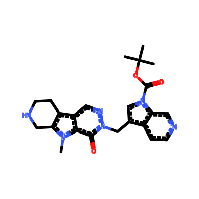 Cn1c2c(c3cnn(Cc4cn(C(=O)OC(C)(C)C)c5cnccc45)c(=O)c31)CCNC2